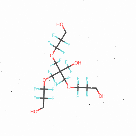 OCC(F)(F)C(F)(F)OC(F)(F)C(C(O)(F)F)(C(F)(F)OC(F)(F)C(F)(F)CO)C(F)(F)OC(F)(F)C(F)(F)CO